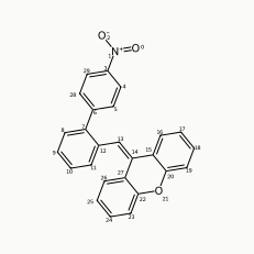 O=[N+]([O-])c1ccc(-c2ccccc2C=C2c3ccccc3Oc3ccccc32)cc1